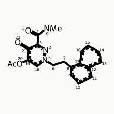 CNC(=O)c1nn(CCc2cccc3ccccc23)cc(OC(C)=O)c1=O